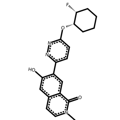 Cn1ccc2cc(O)c(-c3ccc(O[C@H]4CCCC[C@H]4F)nn3)cc2c1=O